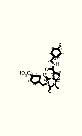 CN1C(=O)N(Cc2ccc(C(=O)O)cc2)C(=O)N2C(C(=O)NCc3ccc(Cl)cc3)=CSC12